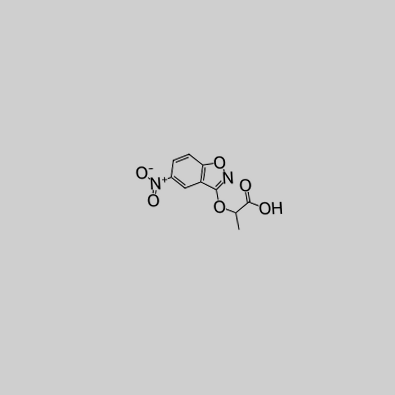 CC(Oc1noc2ccc([N+](=O)[O-])cc12)C(=O)O